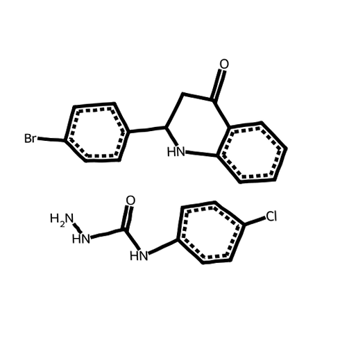 NNC(=O)Nc1ccc(Cl)cc1.O=C1CC(c2ccc(Br)cc2)Nc2ccccc21